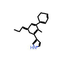 CC/C=C1/C=C(C2=CC=CCC2)C(C)=C(c2cc[nH]c2)C1